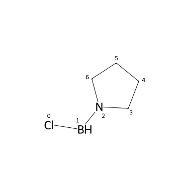 ClBN1CCCC1